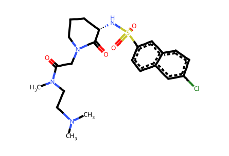 CN(C)CCN(C)C(=O)CN1CCC[C@H](NS(=O)(=O)c2ccc3cc(Cl)ccc3c2)C1=O